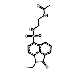 CCN1C(=O)c2cccc3c(S(=O)(=O)NCCNC(C)=O)ccc1c23